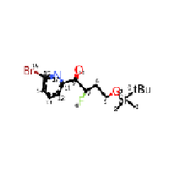 CC(C)(C)[Si](C)(C)OCCC(F)C(=O)c1cccc(Br)n1